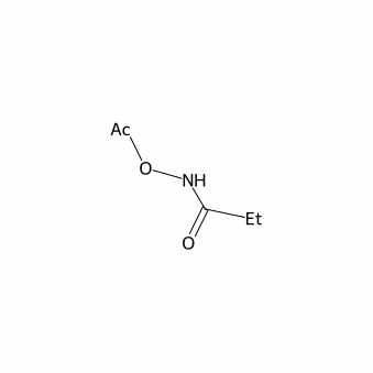 CCC(=O)NOC(C)=O